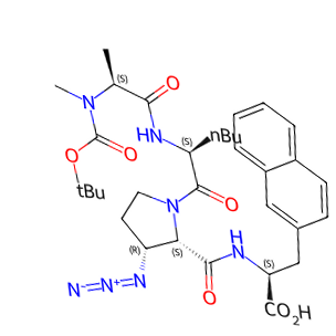 CCCC[C@H](NC(=O)[C@H](C)N(C)C(=O)OC(C)(C)C)C(=O)N1CC[C@@H](N=[N+]=[N-])[C@H]1C(=O)N[C@@H](Cc1ccc2ccccc2c1)C(=O)O